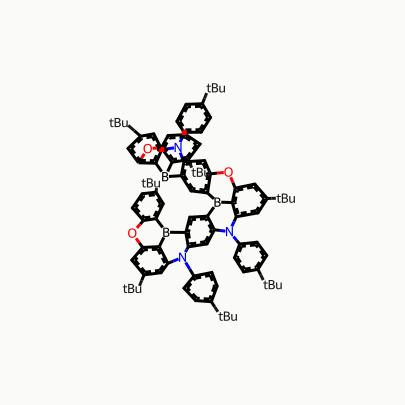 CC(C)(C)c1ccc(N2c3cc4c(cc3B3c5cc(C(C)(C)C)ccc5Oc5cc(C(C)(C)C)cc2c53)B2c3cc5c(cc3Oc3cc(C(C)(C)C)cc(c32)N4c2ccc(C(C)(C)C)cc2)N(c2ccc(C(C)(C)C)cc2)c2cc(C(C)(C)C)cc3c2B5c2c(cccc2C(C)(C)C)O3)cc1